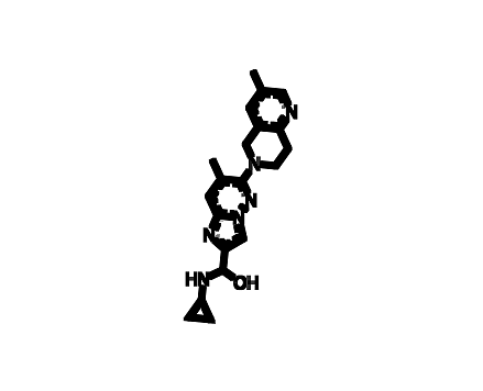 Cc1cnc2c(c1)CN(c1nn3cc(C(O)NC4CC4)nc3cc1C)CC2